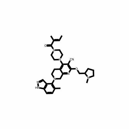 CC=C(C)C(=O)N1CCN(c2c(C#N)c(OCC3CCCN3C)nc3c2CCN(c2c(C)ccc4[nH]ncc24)C3)CC1